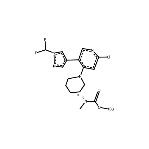 CN(C(=O)OC(C)(C)C)[C@@H]1CCCN(c2cc(Cl)ncc2-c2cnn(C(F)F)c2)C1